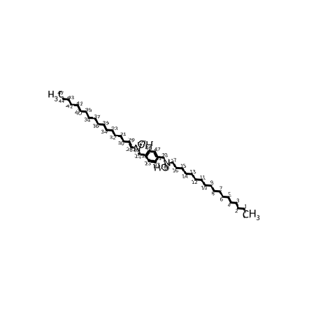 CCCCCCCCCCCCCCCCCCN(O)Cc1ccc(CN(O)CCCCCCCCCCCCCCCCCC)cc1